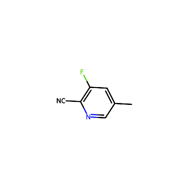 Cc1cnc(C#N)c(F)c1